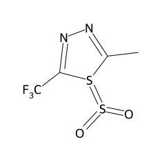 CC1=NN=C(C(F)(F)F)S1=S(=O)=O